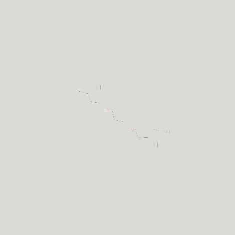 CC(CCOCCCOCCC(C)CC(C)(C)C)CC(C)(C)C